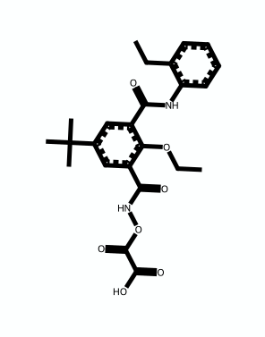 CCOc1c(C(=O)NOC(=O)C(=O)O)cc(C(C)(C)C)cc1C(=O)Nc1ccccc1CC